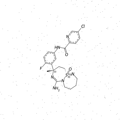 C[C@@]1(c2cc(NC(=O)c3ccc(Cl)cn3)ccc2F)CC[S@]2(=O)=NCCCCN2C(N)=N1